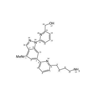 CNc1cc(-c2cccc(CCCCN)n2)cc2c1cnn2-c1cccc(CO)n1